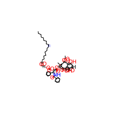 CCCCCCCC/C=C\CCCCCCC[C@@H]1OC[C@@H](COC(=O)O[C@@H](C(=O)O[C@H]2C[C@@]3(O)[C@@H](O)[C@@H]4[C@]5(O)CO[C@@H]5C[C@H](O)[C@@]4(C)C(=O)[C@H](OC(C)=O)C(=C2C)C3(C)C)[C@@H](NC(=O)c2ccccc2)c2ccccc2)O1